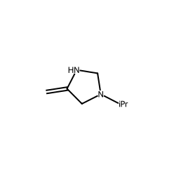 C=C1CN(C(C)C)CN1